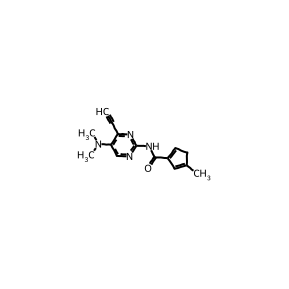 C#Cc1nc(NC(=O)C2=CCC(C)=C2)ncc1N(C)C